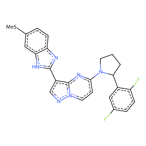 CSc1ccc2nc(-c3cnn4ccc(N5CCCC5c5cc(F)ccc5F)nc34)[nH]c2c1